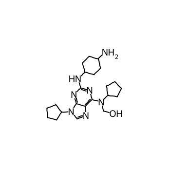 NC1CCC(Nc2nc(N(CO)C3CCCC3)c3ncn(C4CCCC4)c3n2)CC1